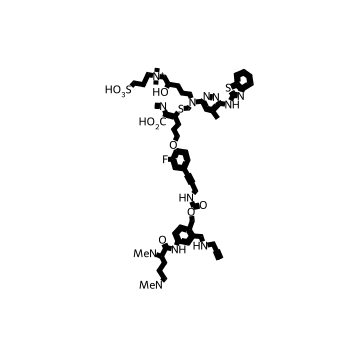 C#CCNCc1cc(NC(=O)C(CCCNC)NC)ccc1COC(=O)NCC#Cc1ccc(OCCC/C(SCN(CCCC(O)C[N+](C)(C)CCCS(=O)(=O)O)c2cc(C)c(Nc3nc4ccccc4s3)nn2)=C(/N=C)C(=O)O)c(F)c1